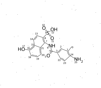 Cc1cc(C(=O)Nc2c(S(=O)(=O)O)ccc3c(O)cccc23)ccc1N